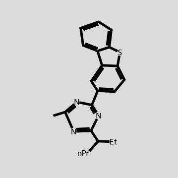 CCCC(CC)c1nc(C)nc(-c2ccc3sc4ccccc4c3c2)n1